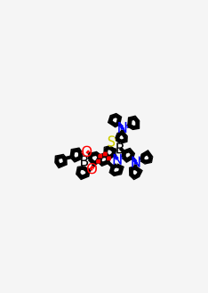 c1ccc(-c2ccc3c(c2)B2c4ccccc4Oc4cc(-c5cc6c7c(c5)N(c5ccccc5-c5ccccc5)c5cc(N(c8ccccc8)c8ccccc8)ccc5B7c5ccc(N(c7ccccc7)c7ccccc7)cc5S6)cc(c42)O3)cc1